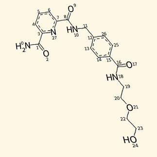 NC(=O)c1cccc(C(=O)NCc2ccc(C(=O)NCCOCCO)cc2)n1